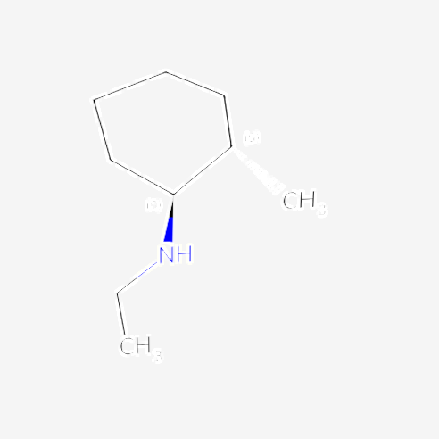 CCN[C@H]1CCCC[C@@H]1C